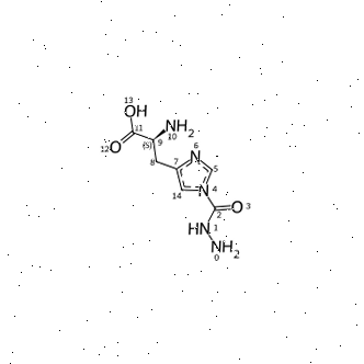 NNC(=O)n1cnc(C[C@H](N)C(=O)O)c1